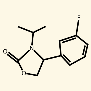 CC(C)N1C(=O)OCC1c1cccc(F)c1